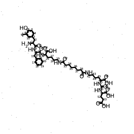 NC(Cc1ccc(O)c(I)c1)C(=O)NC(Cc1ccccc1)C(=O)NC(CCCCNC(=O)CCCCCCC(=O)NCCCCC(NC(=O)NC(CCC(=O)O)C(=O)O)C(=O)O)C(=O)O